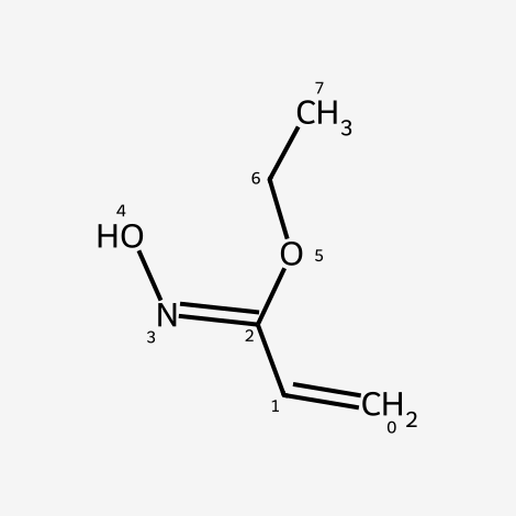 C=CC(=NO)OCC